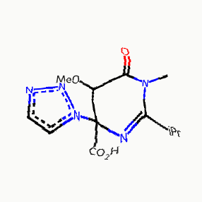 COC1C(=O)N(C)C(C(C)C)=NC1(C(=O)O)n1ccnn1